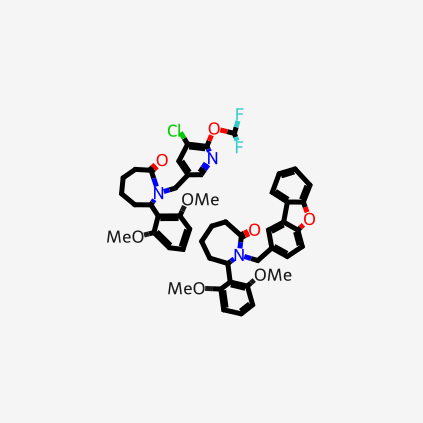 COc1cccc(OC)c1C1CCCCC(=O)N1Cc1ccc2oc3ccccc3c2c1.COc1cccc(OC)c1C1CCCCC(=O)N1Cc1cnc(OC(F)F)c(Cl)c1